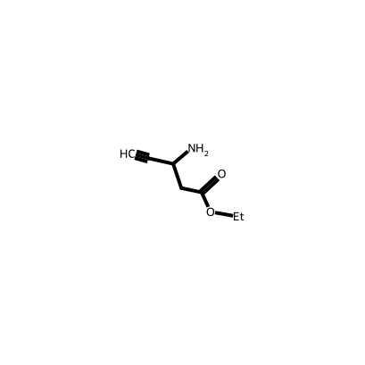 C#CC(N)CC(=O)OCC